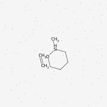 C=C.C[SiH]1CCCCO1